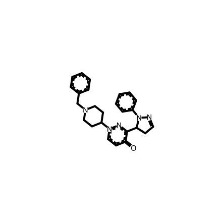 O=c1ccn(C2CCN(Cc3ccccc3)CC2)nc1C1CC=NN1c1ccccc1